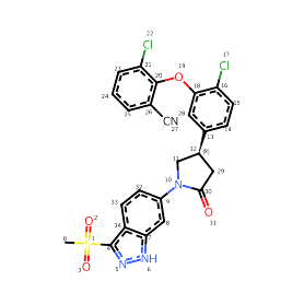 CS(=O)(=O)c1n[nH]c2cc(N3C[C@@H](c4ccc(Cl)c(Oc5c(Cl)cccc5C#N)c4)CC3=O)ccc12